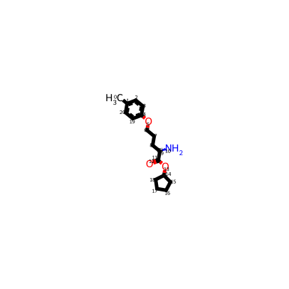 Cc1ccc(OCCC[C@@H](N)C(=O)OC2CCCC2)cc1